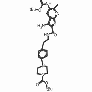 Cc1nc2sc(C(=O)NCCc3ccc(N4CCN(C(=O)OC(C)(C)C)CC4)cc3)c(N)c2cc1NC(=O)OC(C)(C)C